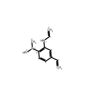 C=CNc1cc(C=C)ccc1N(C)CCC